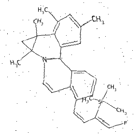 Cc1cc(C)c2c(c1)C1c3cccc(/C=C\C(=C\F)[Si](C)(C)C)c3C=CN1C1(C)CC21C